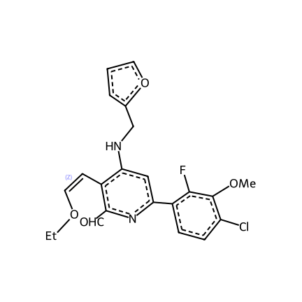 CCO/C=C\c1c(NCc2ccco2)cc(-c2ccc(Cl)c(OC)c2F)nc1C=O